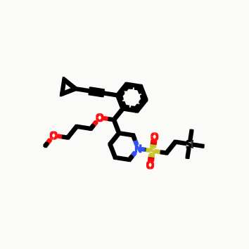 COCCCOC(c1ccccc1C#CC1CC1)C1CCCN(S(=O)(=O)CC[Si](C)(C)C)C1